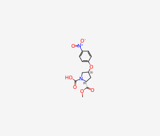 COC(=O)[C@H]1C[C@H](Oc2ccc([N+](=O)[O-])cc2)CN1C(=O)O